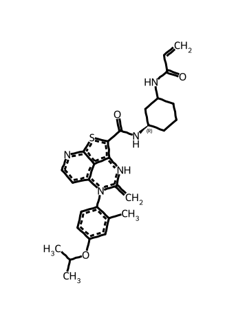 C=CC(=O)NC1CCC[C@@H](NC(=O)c2sc3nccc4c3c2[nH]c(=C)n4-c2ccc(OC(C)C)cc2C)C1